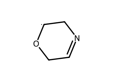 [CH]1CN=CCO1